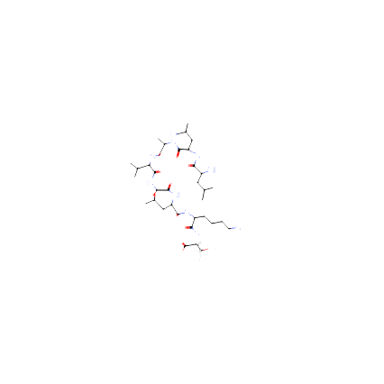 CC(C)CC(N)C(=O)NC(CC(C)C)C(=O)NC(C)C(=O)NC(C(=O)NC(C)C(=O)NC(CC(C)C)C(=O)NC(CCCCN)C(=O)N[C@@H](C(=O)O)[C@H](C)O)C(C)C